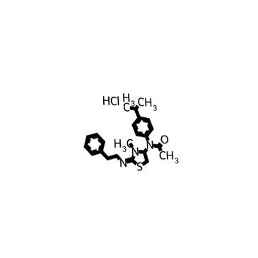 CC(=O)N(c1ccc(C(C)C)cc1)C1CSC(=NCCc2ccccc2)N1C.Cl